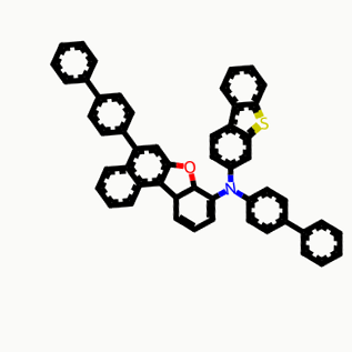 C1=CC2c3c(cc(-c4ccc(-c5ccccc5)cc4)c4ccccc34)OC2C(N(c2ccc(-c3ccccc3)cc2)c2ccc3c(c2)sc2ccccc23)=C1